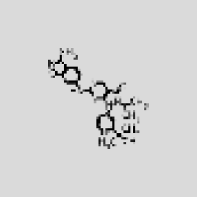 CC(C)n1c(=O)c2cnc(Nc3ccc4c(N)noc4c3)nc2n1-c1ccnc(C(C)(C)C)c1